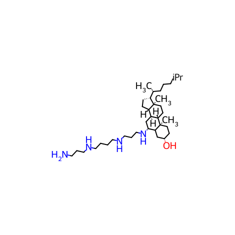 CC(C)CCC[C@@H](C)[C@H]1CC[C@H]2[C@@H]3C[C@@H](NCCCNCCCCNCCCN)C4C[C@@H](O)CC[C@]4(C)[C@H]3CC[C@]12C